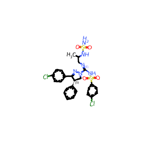 CC(C/N=C(/NS(=O)(=O)c1ccc(Cl)cc1)N1C[C@H](c2ccccc2)C(c2ccc(Cl)cc2)=N1)NS(N)(=O)=O